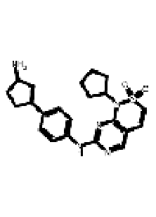 NC1CCC(c2ccc(Nc3ncc4c(n3)N(C3CCCC3)S(=O)(=O)C=C4)cc2)C1